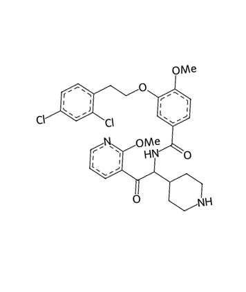 COc1ccc(C(=O)NC(C(=O)c2cccnc2OC)C2CCNCC2)cc1OCCc1ccc(Cl)cc1Cl